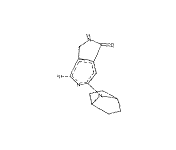 [2H]c1nc(N2C3CCC2CC3)cc2c1CNC2=O